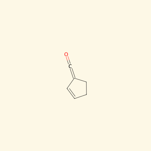 O=C=C1C=CCC1